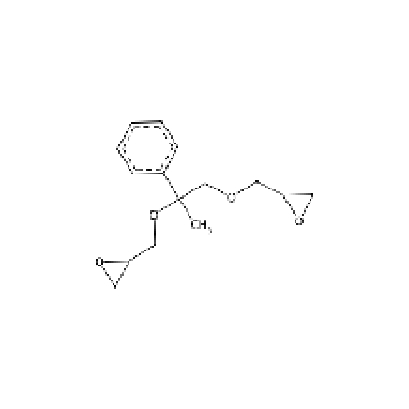 CC(COCC1CO1)(OCC1CO1)c1ccccc1